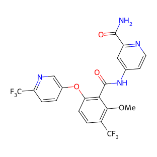 COc1c(C(F)(F)F)ccc(Oc2ccc(C(F)(F)F)nc2)c1C(=O)Nc1ccnc(C(N)=O)c1